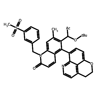 CC(=O)C(OC(C)(C)C)c1c(C)cc2c(ccc(=O)n2Cc2cccc(S(C)(=O)=O)c2)c1-c1ccc2c3c(ccnc13)CCO2